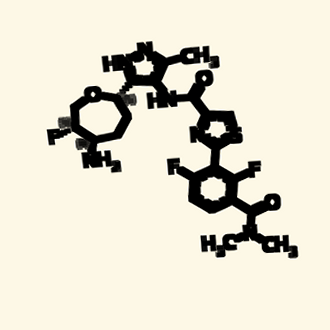 Cc1n[nH]c([C@@H]2CC[C@@H](N)[C@H](F)CO2)c1NC(=O)c1csc(-c2c(F)ccc(C(=O)N(C)C)c2F)n1